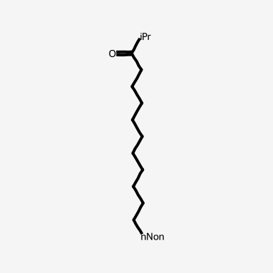 CCCCCCCCCCCCCCCCCCCC(=O)C(C)C